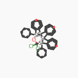 ClC1(Cl)O[Si](c2ccccc2)(c2ccccc2)[Si](c2ccccc2)(c2ccccc2)[Si](c2ccccc2)(c2ccccc2)[Si]1(c1ccccc1)c1ccccc1